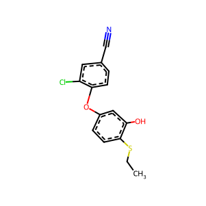 CCSc1ccc(Oc2ccc(C#N)cc2Cl)cc1O